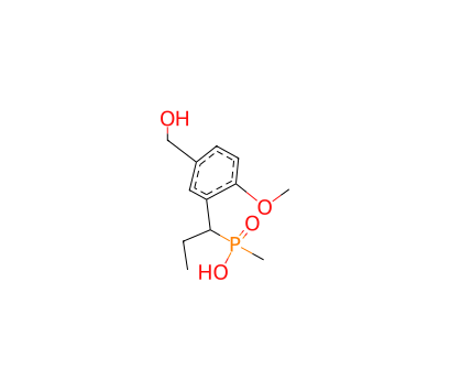 CCC(c1cc(CO)ccc1OC)P(C)(=O)O